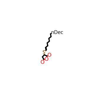 CCCCCCCCCCCCCCCCC=CSC1CC(=O)OC1=O